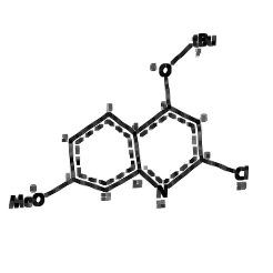 COc1ccc2c(OC(C)(C)C)cc(Cl)nc2c1